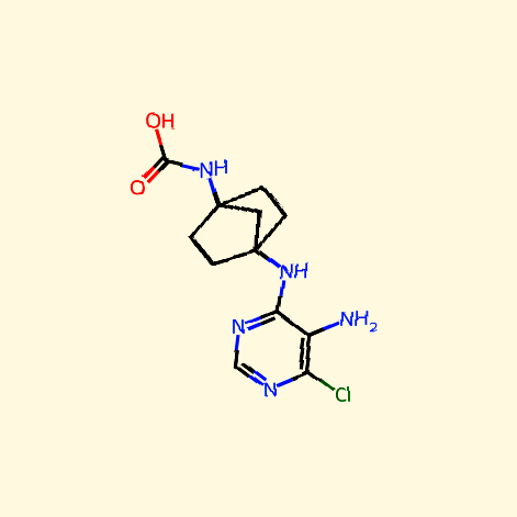 Nc1c(Cl)ncnc1NC12CCC(NC(=O)O)(CC1)C2